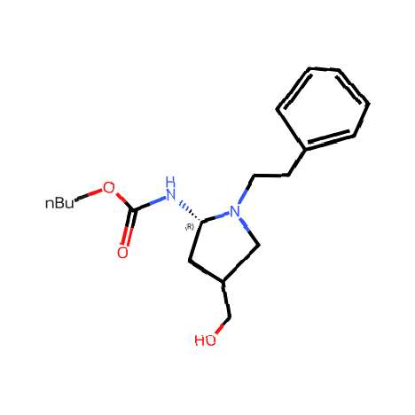 CCCCOC(=O)N[C@H]1CC(CO)CN1CCc1ccccc1